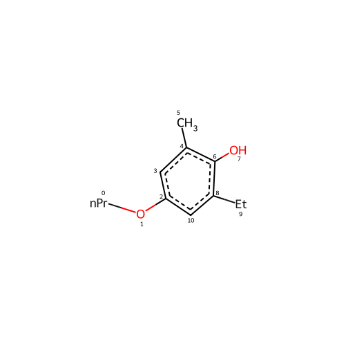 CCCOc1cc(C)c(O)c(CC)c1